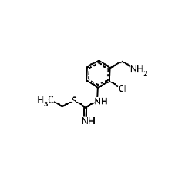 CCSC(=N)Nc1cccc(CN)c1Cl